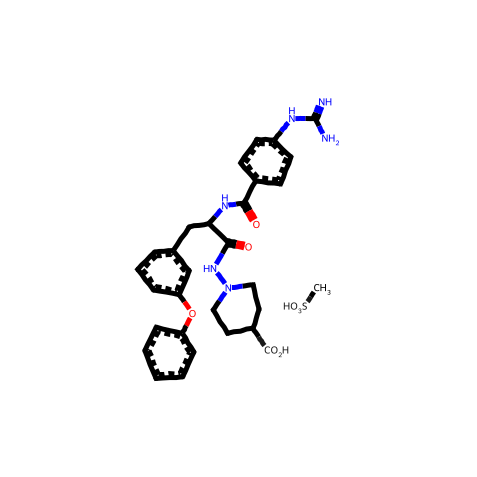 CS(=O)(=O)O.N=C(N)Nc1ccc(C(=O)NC(Cc2cccc(Oc3ccccc3)c2)C(=O)NN2CCC(C(=O)O)CC2)cc1